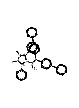 CCCCN(P(c1ccc(-c2ccccc2)cc1)c1ccc(-c2ccccc2)cc1)P1[C@H](c2ccccc2)N(C)N(C)[C@H]1c1ccccc1